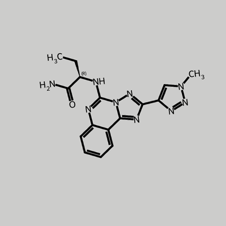 CC[C@@H](Nc1nc2ccccc2c2nc(-c3cn(C)nn3)nn12)C(N)=O